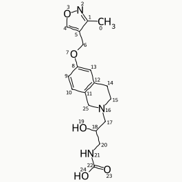 Cc1nocc1COc1ccc2c(c1)CCN(CC(O)CNC(=O)O)C2